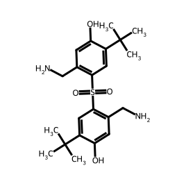 CC(C)(C)c1cc(S(=O)(=O)c2cc(C(C)(C)C)c(O)cc2CN)c(CN)cc1O